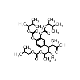 CC(C)COC(=O)OC(C)C(C)C(c1ccc(OC(=O)OC(C)C(C)C)c(OC(=O)OC(C)C(C)C)c1)[C@H](N)C(=O)O